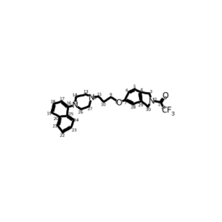 O=C(N1Cc2ccc(OCCCN3CCN(c4cccc5ccccc45)CC3)cc2C1)C(F)(F)F